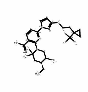 CC[C@H]1CC(C)(C)N(c2nc(-n3ccc(OCCC4(C(F)(F)F)CC4)n3)ccc2C(=O)O)CC1C